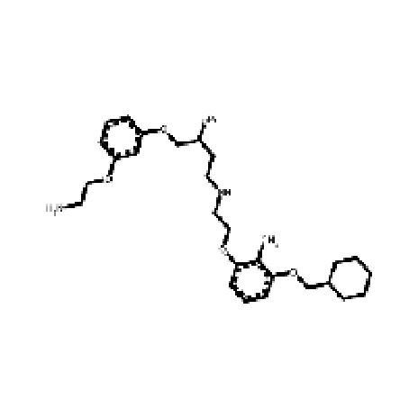 CCCC(CCNCCOc1cccc(OCC2CCCCC2)c1C)COc1cccc(OCCN)c1